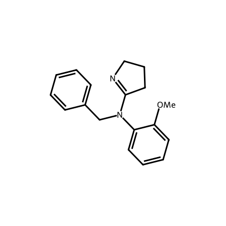 COc1ccccc1N(Cc1ccccc1)C1=NCCC1